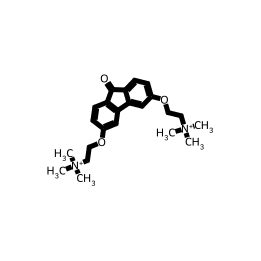 C[N+](C)(C)CCOc1ccc2c(c1)-c1cc(OCC[N+](C)(C)C)ccc1C2=O